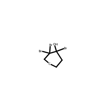 OC1(Br)CCCCC1(Br)Br